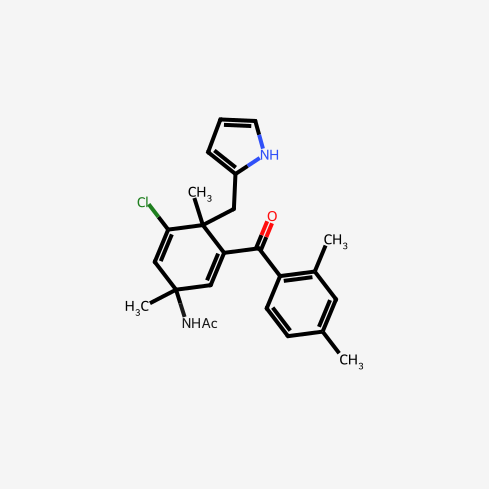 CC(=O)NC1(C)C=C(Cl)C(C)(Cc2ccc[nH]2)C(C(=O)c2ccc(C)cc2C)=C1